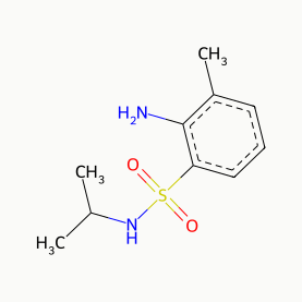 Cc1cccc(S(=O)(=O)NC(C)C)c1N